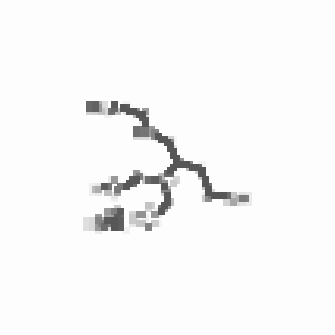 O.O.O=C(O)CNCC(CCO)N(CC(=O)O)CC(=O)O